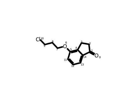 O=C1CCc2c(OCCCCl)cccc21